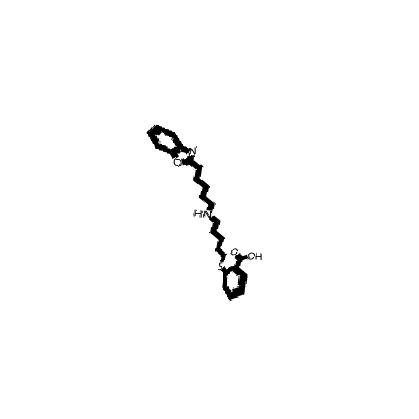 O=C(O)c1ccccc1SCCCCCNCCCCCc1nc2ccccc2o1